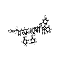 CC(C)(C)OC(=O)NCCC[C@@H](COC[C@@H](CNC(=O)c1[nH]c2ccccc2c1-c1ccc(F)cc1)NC(=O)OCc1ccccc1)NC(=O)OCc1ccccc1